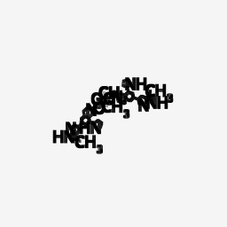 Cc1c[nH]c2ncc(-c3cc4c(c(C5CCCN5)c3)CN(CO[C@@H](C)C(=O)[C@H](C)OCN3CCc5cc(-c6cnc7[nH]cc(C)c7c6)cc(C6CCCN6)c5C3)CC4)cc12